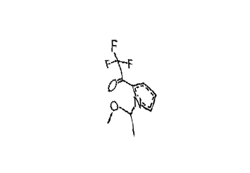 COC(C)n1cccc1C(=O)C(F)(F)F